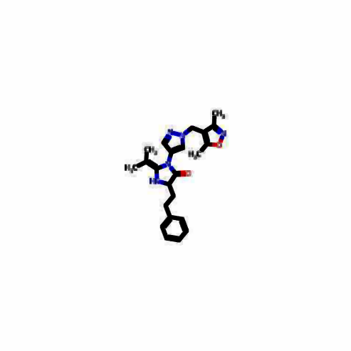 CC(C)=C1NC(CCc2ccccc2)C(=O)N1c1cnn(Cc2c(C)noc2C)c1